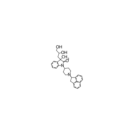 CC1(CC(O)CO)C(=O)N(C2CCN([C@@H]3Cc4cccc5cccc3c45)CC2)c2ccccc21